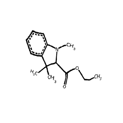 CCOC(=O)C1N(C)c2ccccc2C1(C)C